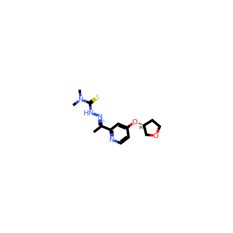 C/C(=N\NC(=S)N(C)C)c1cc(O[C@@H]2CCOC2)ccn1